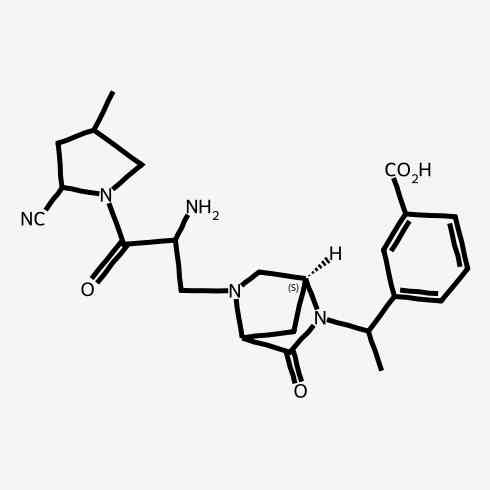 CC1CC(C#N)N(C(=O)C(N)CN2C[C@@H]3CC2C(=O)N3C(C)c2cccc(C(=O)O)c2)C1